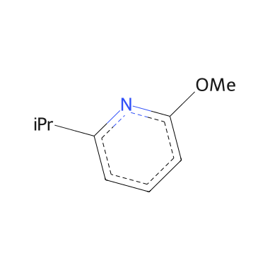 COc1cccc(C(C)C)n1